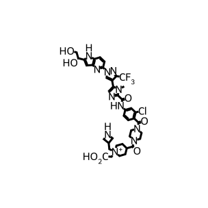 Cn1c(-c2cn(-c3ccc4[nH]c([C@H](O)CO)cc4n3)nc2C(F)(F)F)cnc1C(=O)Nc1ccc(C(=O)N2CCN(C(=O)C3CC[N+](CC(=O)O)(CC4CNC4)CC3)CC2)c(Cl)c1